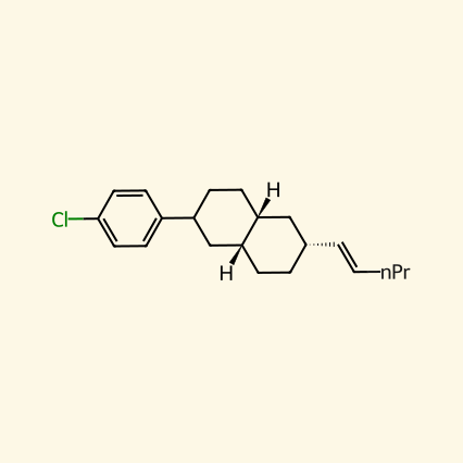 CCCC=C[C@@H]1CC[C@@H]2CC(c3ccc(Cl)cc3)CC[C@@H]2C1